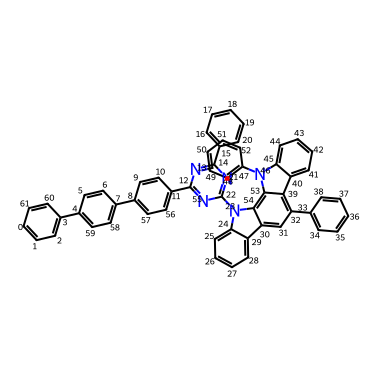 c1ccc(-c2ccc(-c3ccc(-c4nc(-c5ccccc5)nc(-n5c6ccccc6c6cc(-c7ccccc7)c7c8ccccc8n(-c8ccccc8)c7c65)n4)cc3)cc2)cc1